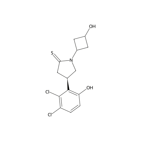 Oc1ccc(Cl)c(Cl)c1[C@H]1CC(=S)N(C2CC(O)C2)C1